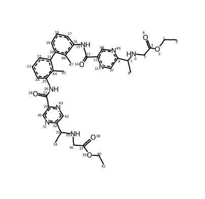 CCOC(=O)CNC(C)c1cnc(C(=O)Nc2cccc(-c3cccc(NC(=O)c4cnc(C(C)NCC(=O)OCC)cn4)c3C)c2C)cn1